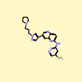 Cc1cnnc(Nc2ccc3ncc(-c4cnn(CCCN5CCCC5)c4)cc3n2)c1